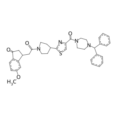 COc1ccc2c(c1)C(CC(=O)N1CCC(c3nc(C(=O)N4CCN(C(c5ccccc5)c5ccccc5)CC4)cs3)CC1)CC2=O